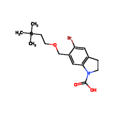 C[Si](C)(C)CCOCc1cc2c(cc1Br)CCN2C(=O)O